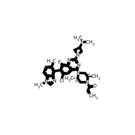 C=CC(=O)N1C[C@H](C)N(c2nc(N3CC(N(C)C)C3)nc3c(F)c(-c4c(C)ccc5c4ncn5C)c(Cl)cc23)C[C@H]1C